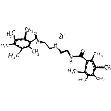 Cc1c(C)c(C)c(C(=O)NCCNCCNC(=O)c2c(C)c(C)c(C)c(C)c2C)c(C)c1C.[Zr]